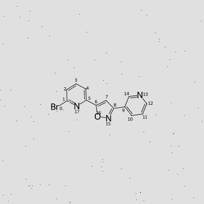 Brc1cccc(-c2cc(-c3cccnc3)no2)n1